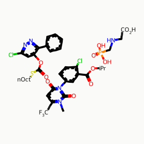 CC(C)OC(=O)c1cc(-n2c(=O)cc(C(F)(F)F)n(C)c2=O)ccc1Cl.CCCCCCCCSC(=O)Oc1cc(Cl)nnc1-c1ccccc1.O=C(O)CNCP(=O)(O)O